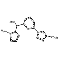 CCOC(=O)c1cn(-c2cccc(C(OC)c3nccn3C)c2)cn1